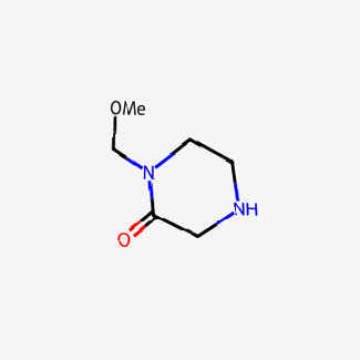 COCN1CCNCC1=O